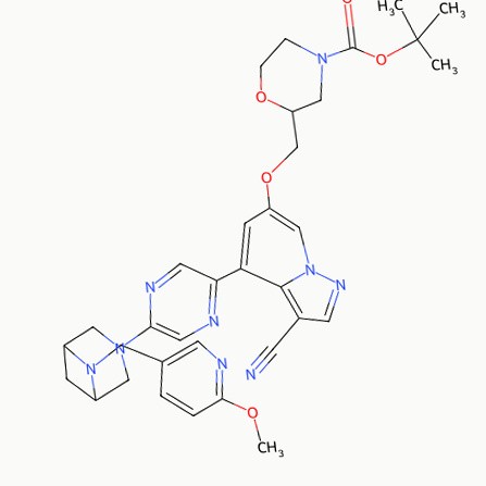 COc1ccc(CN2C3CC2CN(c2cnc(-c4cc(OCC5CN(C(=O)OC(C)(C)C)CCO5)cn5ncc(C#N)c45)cn2)C3)cn1